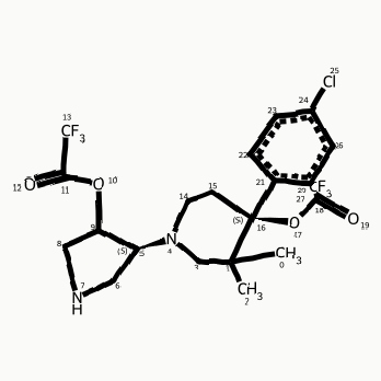 CC1(C)CN([C@H]2CNCC2OC(=O)C(F)(F)F)CC[C@]1(OC(=O)C(F)(F)F)c1ccc(Cl)cc1